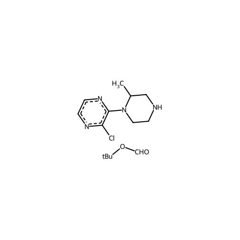 CC(C)(C)OC=O.CC1CNCCN1c1nccnc1Cl